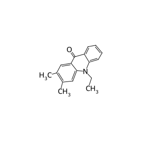 CCn1c2ccccc2c(=O)c2cc(C)c(C)cc21